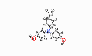 COc1ccc(N(c2ccc(OC)cc2)c2ccc(C(C)C)cc2)cc1